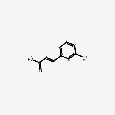 O=C(O)C=Cc1cccc(S)c1